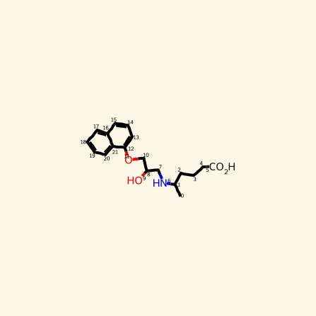 CC(CCCC(=O)O)NCC(O)COc1cccc2ccccc12